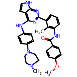 COc1ccc(C(=O)Nc2cccc(-c3nc(Nc4ccc(N5CCN(C)CC5)cc4)c4cc[nH]c4n3)c2C)cc1